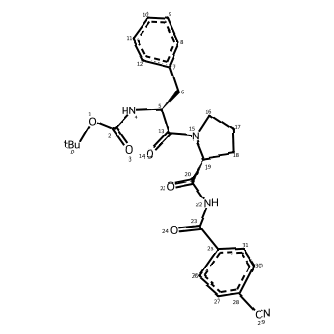 CC(C)(C)OC(=O)N[C@@H](Cc1ccccc1)C(=O)N1CCC[C@H]1C(=O)NC(=O)c1ccc(C#N)cc1